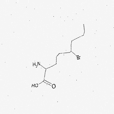 CCCC(Br)CCC(N)C(=O)O